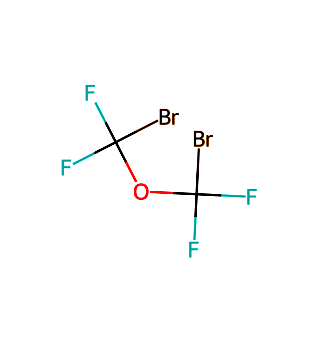 FC(F)(Br)OC(F)(F)Br